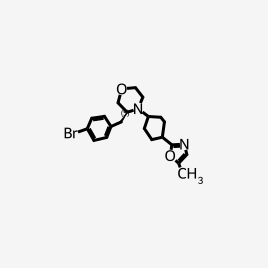 Cc1cnc(C2CCC(N3CCOC[C@@H]3Cc3ccc(Br)cc3)CC2)o1